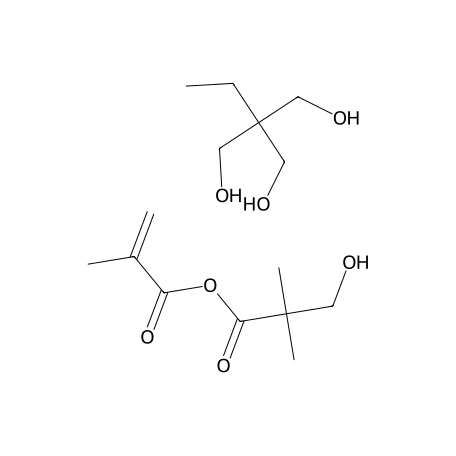 C=C(C)C(=O)OC(=O)C(C)(C)CO.CCC(CO)(CO)CO